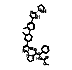 COC(=O)N[C@@H](C(=O)N1CCC[C@H]1c1ncc(-c2ccc(-c3ccc(-c4cnc([C@@H]5CCCN5)[nH]4)cc3C)c(C)c2)[nH]1)c1ccccc1